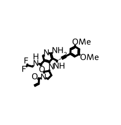 C=CC(=O)N1CCC(N2N[C@@H](C#Cc3cc(OC)cc(OC)c3)c3c(N)ncc(C(=O)NCC(F)F)c32)C1